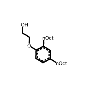 CCCCCCCCc1ccc(OCCO)c(CCCCCCCC)c1